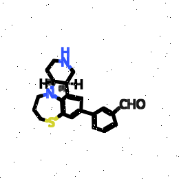 O=Cc1cccc(-c2cc3c4c(c2)[C@@H]2CNCC[C@@H]2N4CCCS3)c1